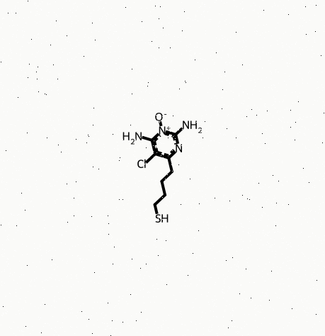 Nc1nc(CCCCS)c(Cl)c(N)[n+]1[O-]